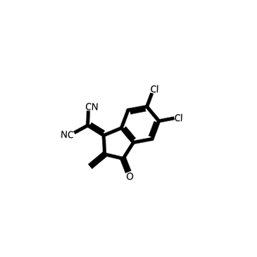 C=C1C(=O)c2cc(Cl)c(Cl)cc2C1=C(C#N)C#N